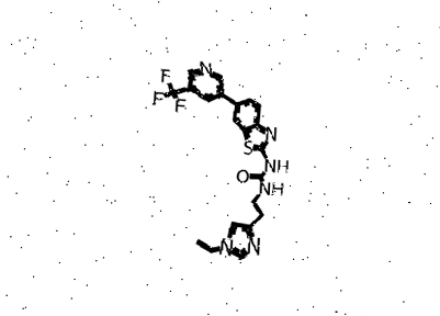 CCn1cnc(CCNC(=O)Nc2nc3ccc(-c4cncc(C(F)(F)F)c4)cc3s2)c1